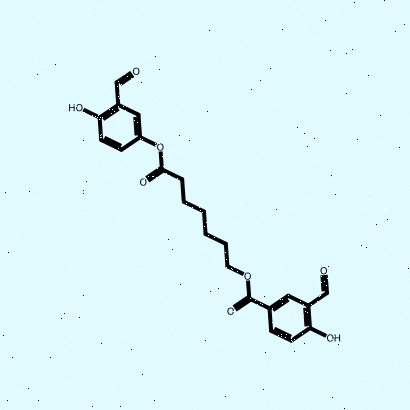 O=Cc1cc(OC(=O)CCCCCCOC(=O)c2ccc(O)c(C=O)c2)ccc1O